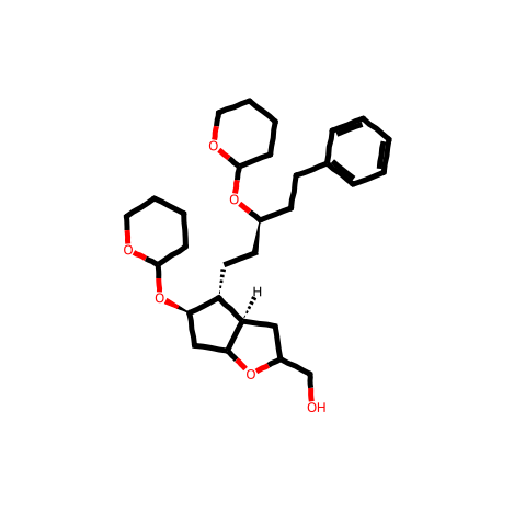 OCC1C[C@H]2C(C[C@@H](OC3CCCCO3)[C@@H]2CC[C@H](CCc2ccccc2)OC2CCCCO2)O1